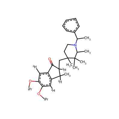 [2H]c1c(OC(C)C)c(OC(C)C)c([2H])c2c1C(=O)C([2H])(CC1(C)CCN(C(C)c3ccccc3)C(C)C1(C)C)C2([2H])C